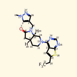 Cn1cc(CN2C(=O)C[C@H]3CCN(c4ncnc5sc(CC(F)(F)F)cc45)C[C@H]32)cn1